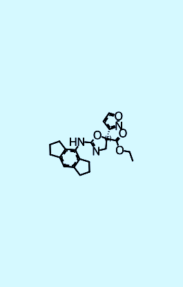 CCOC(=O)[C@@]1(c2ccon2)CN=C(Nc2c3c(cc4c2CCC4)CCC3)O1